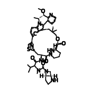 CCn1c(-c2cccnc2[C@H](C)OC)c2c3cc(ccc31)-c1csc(n1)C[C@H](NC(=O)C(C(C)C)N(C)C(=O)N1C[C@H]3NCC[C@H]31)C(=O)N1CCC[C@H](N1)C(=O)OCC(C)(C)C2